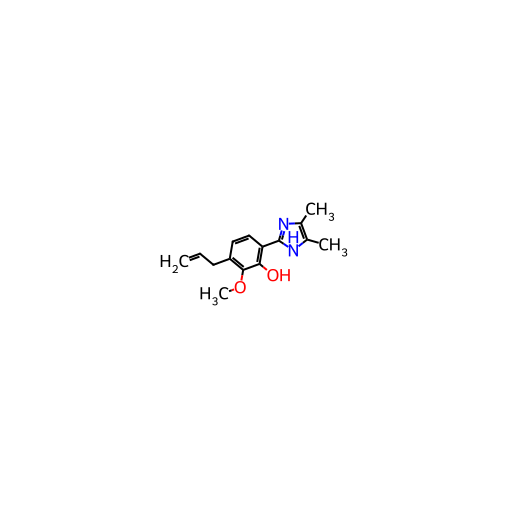 C=CCc1ccc(-c2nc(C)c(C)[nH]2)c(O)c1OC